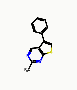 FC(F)(F)c1n[c]c2c(-c3ccccc3)csc2n1